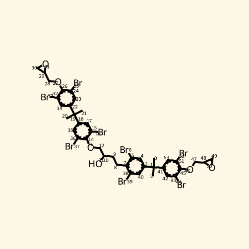 CC(C)(c1cc(Br)c(CCC(O)COc2c(Br)cc(C(C)(C)c3cc(Br)c(OCC4CO4)c(Br)c3)cc2Br)c(Br)c1)c1cc(Br)c(OCC2CO2)c(Br)c1